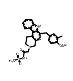 COc1ccc(Cc2nc3c(c4c2[nH]c2ccccc24)CCN(CC(=O)NS(C)(=O)=O)C3)cc1F